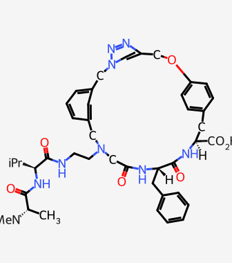 CN[C@@H](C)C(=O)N[C@H](C(=O)NCCN1CC(=O)N[C@@H](Cc2ccccc2)C(=O)N[C@H](C(=O)O)Cc2ccc(cc2)OCc2cn(nn2)Cc2cccc(c2)C1)C(C)C